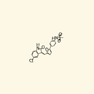 CS(=O)(=O)Nc1ccc(-c2ccc(/C=C3\C(=O)Nc4ccc(Cl)cc43)o2)cc1